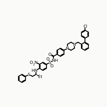 CC[C@@H](CSc1ccccc1)Nc1ccc(S(=O)(=O)NC(=O)c2ccc(N3CCN(Cc4ccccc4-c4ccc(Cl)cc4)CC3)cc2)cc1[N+](=O)[O-]